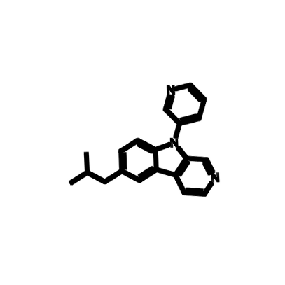 CC(C)Cc1ccc2c(c1)c1ccncc1n2-c1cccnc1